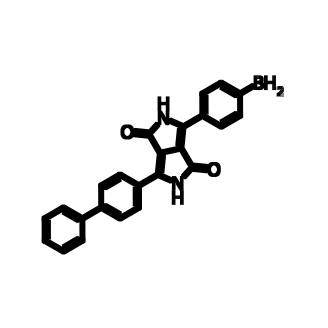 Bc1ccc(C2=C3C(=O)NC(c4ccc(-c5ccccc5)cc4)=C3C(=O)N2)cc1